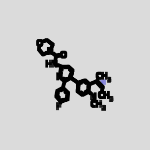 C=Nc1ccc(-c2ccc(NC(=O)N3CCOCC3)nc2-c2ccc(F)cc2)cc1/C(C)=C\C